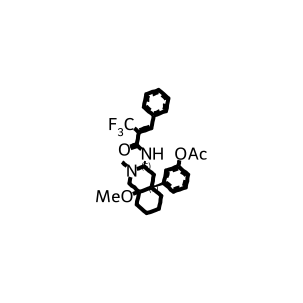 COC12CCCC[C@@]1(c1cccc(OC(C)=O)c1)C[C@@H](NC(=O)C(=Cc1ccccc1)C(F)(F)F)N(C)C2